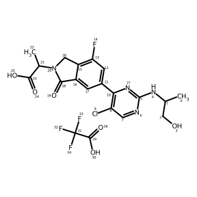 CC(CO)Nc1ncc(Cl)c(-c2cc(F)c3c(c2)C(=O)N(C(C)C(=O)O)C3)n1.O=C(O)C(F)(F)F